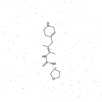 C=C(N/C(C)=C(\C)CC1=CCNCC1)N[C@@H]1CCOC1